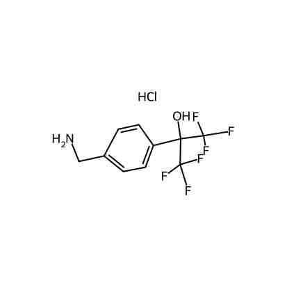 Cl.NCc1ccc(C(O)(C(F)(F)F)C(F)(F)F)cc1